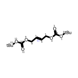 CC(C)(C)OC(=O)OC/C=C/COC(=O)OC(C)(C)C